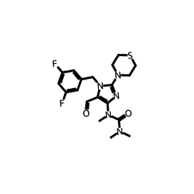 CN(C)C(=O)N(C)c1nc(N2CCSCC2)n(Cc2cc(F)cc(F)c2)c1C=O